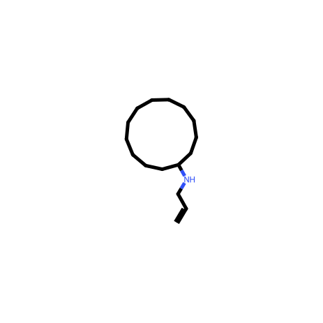 C=CCNC1CCCCCCCCCCCC1